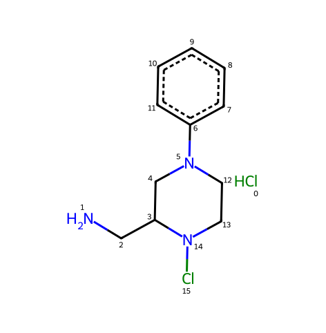 Cl.NCC1CN(c2ccccc2)CCN1Cl